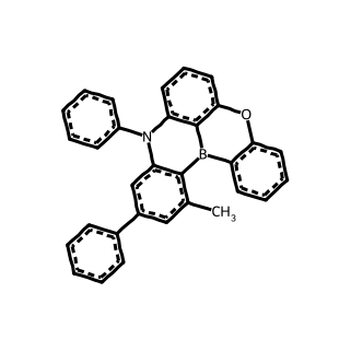 Cc1cc(-c2ccccc2)cc2c1B1c3ccccc3Oc3cccc(c31)N2c1ccccc1